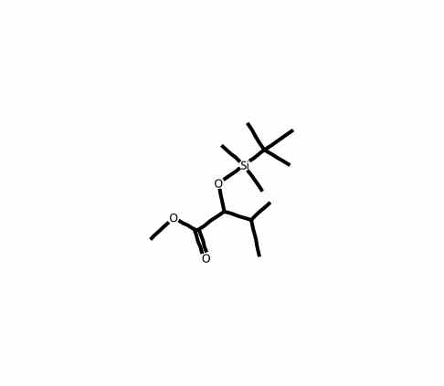 COC(=O)C(O[Si](C)(C)C(C)(C)C)C(C)C